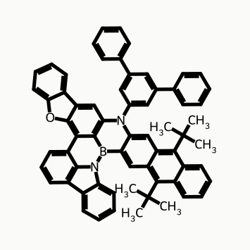 CC(C)(C)c1c2ccccc2c(C(C)(C)C)c2cc3c(cc12)B1c2c(cc4c(oc5ccccc54)c2-c2cccc4c5ccccc5n1c24)N3c1cc(-c2ccccc2)cc(-c2ccccc2)c1